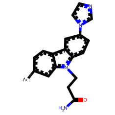 CC(=O)c1ccc2c3cc(-n4ccnc4)ccc3n(CCC(N)=O)c2c1